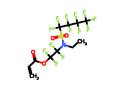 C=CC(=O)OC(F)(F)C(F)(F)N(CC)S(=O)(=O)C(F)(F)C(F)(F)C(F)(F)C(F)(F)F